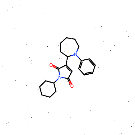 O=C1C=C(C2CCCCCN2c2ccccc2)C(=O)N1C1CCCCC1